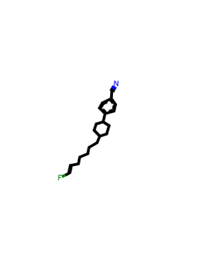 N#Cc1ccc(C2CCC(CCCCCC=CF)CC2)cc1